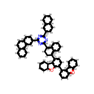 C1=CC2Oc3c(-c4cccc5oc6ccccc6c45)ccc(C4=c5ccccc5=C(c5nc(-c6ccc7ccccc7c6)nc(-c6ccc7ccc8ccccc8c7c6)n5)CC4)c3C2C=C1